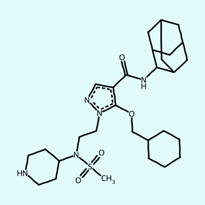 CS(=O)(=O)N(CCn1ncc(C(=O)NC2C3CC4CC(C3)CC2C4)c1OCC1CCCCC1)C1CCNCC1